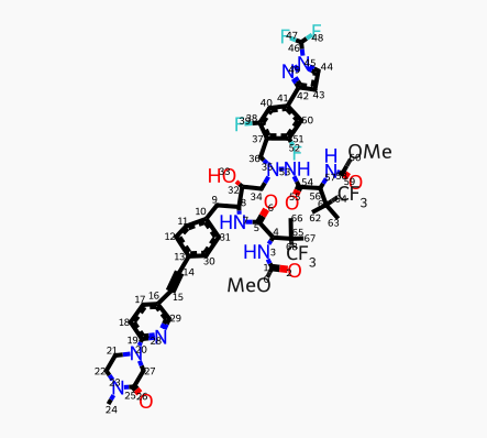 COC(=O)NC(C(=O)NC(Cc1ccc(C#Cc2ccc(N3CCN(C)C(=O)C3)nc2)cc1)C(O)CN(Cc1c(F)cc(-c2ccn(C(F)F)n2)cc1F)NC(=O)C(NC(=O)OC)C(C)(C)C(F)(F)F)C(C)(C)C(F)(F)F